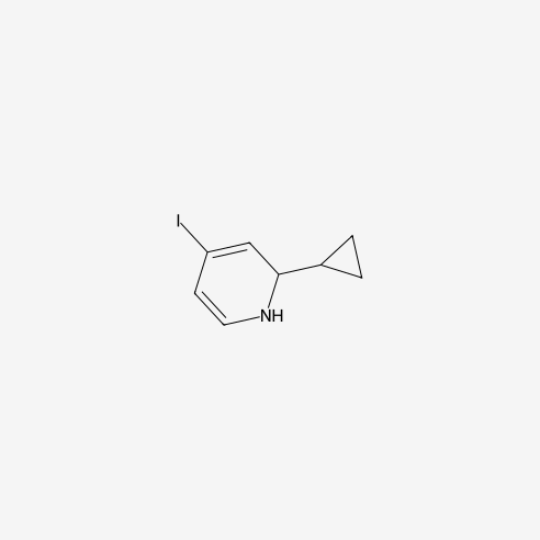 IC1=CC(C2CC2)NC=C1